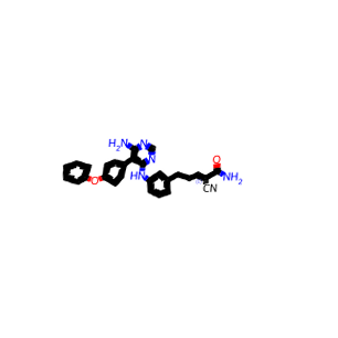 N#C/C(=C\CCc1cccc(Nc2ncnc(N)c2-c2ccc(Oc3ccccc3)cc2)c1)C(N)=O